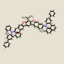 Cc1ccccc1N(c1ccc2cc3c(cc2c1)oc1c(C(C)C)c2oc4cc5cc(N(c6ccccc6C)c6ccc(-c7ccccc7)cc6-c6ccccc6)ccc5cc4c2cc13)c1ccc(-c2ccccc2)cc1-c1ccccc1